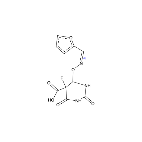 O=C1NC(=O)C(F)(C(=O)O)C(O/N=C\c2ccco2)N1